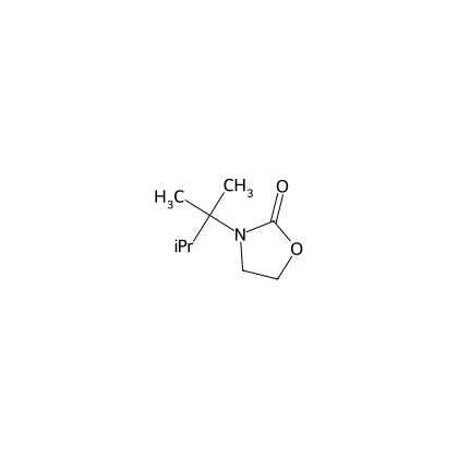 CC(C)C(C)(C)N1CCOC1=O